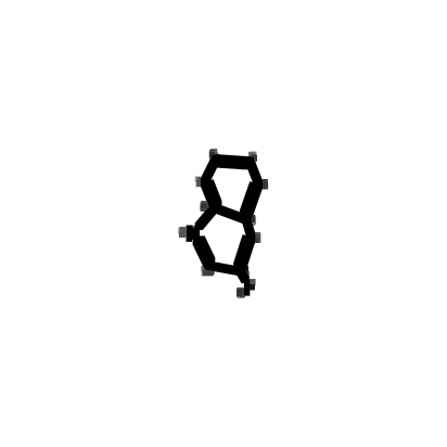 Fc1[c]c2ccccc2nc1